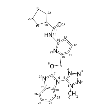 Cn1nnnc1-n1c(OCc2cccc(NC(=O)C3CCCC3)n2)nc2ccccc21